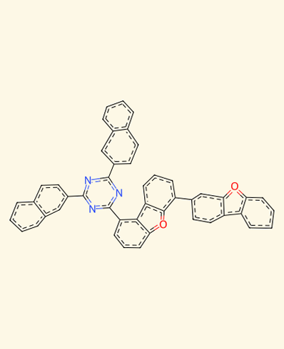 c1ccc2cc(-c3nc(-c4ccc5ccccc5c4)nc(-c4cccc5oc6c(-c7ccc8c(c7)oc7ccccc78)cccc6c45)n3)ccc2c1